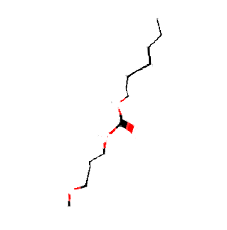 CCCCCCOC(=O)OCCCOC